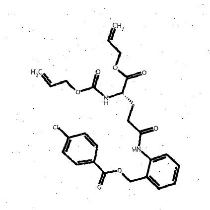 C=CCOC(=O)N[C@@H](CCC(=O)Nc1ccccc1COC(=O)c1ccc(Cl)cc1)C(=O)OCC=C